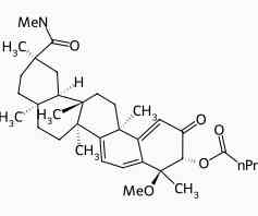 CCCC(=O)O[C@H]1C(=O)C=C2C(=CC=C3[C@@]2(C)CC[C@@]2(C)[C@@H]4C[C@](C)(C(=O)NC)CC[C@]4(C)CC[C@]32C)[C@]1(C)OC